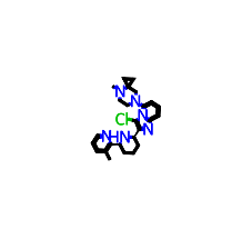 Cc1cccnc1[C@@H]1CCC[C@H](c2nc3cccc(N4CCN(C)C5(CC5)C4)n3c2Cl)N1